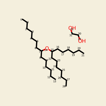 CCCCCCCC(CCCCCC)OC(CCCCCC)CCCCCCC.OCCO